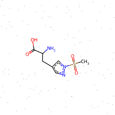 CS(=O)(=O)n1cc(CC(N)C(=O)O)cn1